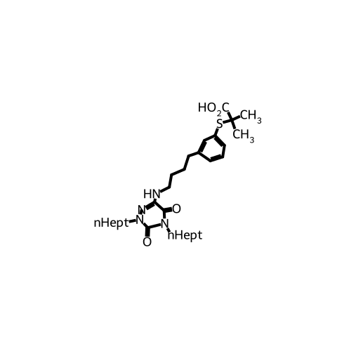 CCCCCCCn1nc(NCCCCc2cccc(SC(C)(C)C(=O)O)c2)c(=O)n(CCCCCCC)c1=O